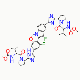 COC(=O)N[C@H](C(=O)N1CCCC1C1=NC(c2ccc3c(c2)c(F)c2n3COc3cc(-c4cnc(C5CCCN5C(=O)[C@@H](NC(=O)OC)C(C)C)[nH]4)cc(F)c3-2)C=N1)C(C)C